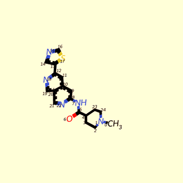 CN1CCC(C(=O)Nc2cc3cc(-c4cncs4)ncc3cn2)CC1